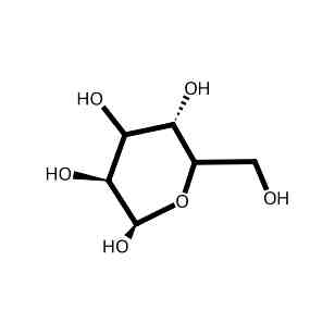 OCC1O[C@@H](O)[C@@H](O)C(O)[C@@H]1O